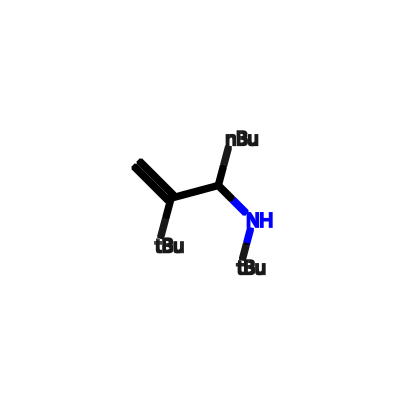 C=C(C(CCCC)NC(C)(C)C)C(C)(C)C